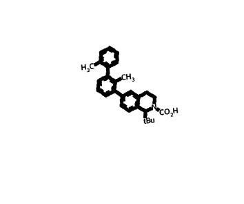 Cc1ccccc1-c1cccc(-c2ccc3c(c2)CCN(C(=O)O)C3C(C)(C)C)c1C